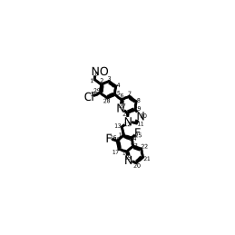 O=NCc1ccc(-c2ccc3ncn(Cc4c(F)cc5ncccc5c4F)c3n2)cc1Cl